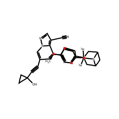 [2H]C([2H])(c1ccc(OC)nc1)N1C2CC1CN(c1ccc(-c3cc(C#CC4(O)CC4)cn4ncc(C#N)c34)cn1)C2